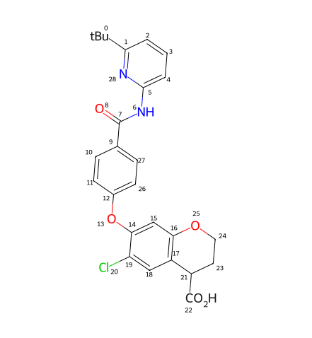 CC(C)(C)c1cccc(NC(=O)c2ccc(Oc3cc4c(cc3Cl)C(C(=O)O)CCO4)cc2)n1